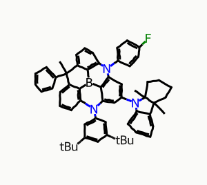 CC(C)(C)c1cc(N2c3cc(N4c5ccccc5C5(C)CCCCC45C)cc4c3B3c5c(cccc5C(C)(c5ccccc5)c5cccc2c53)N4c2ccc(F)cc2)cc(C(C)(C)C)c1